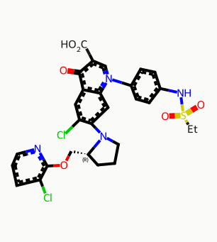 CCS(=O)(=O)Nc1ccc(-n2cc(C(=O)O)c(=O)c3cc(Cl)c(N4CCC[C@@H]4COc4ncccc4Cl)cc32)cc1